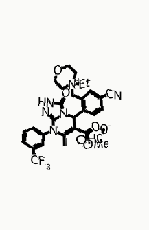 CC[N+]1(Cc2cc(C#N)ccc2C2C(C(=O)OC)=C(C)N(c3cccc(C(F)(F)F)c3)c3n[nH]c(=O)n32)CCOCC1.O=C[O-]